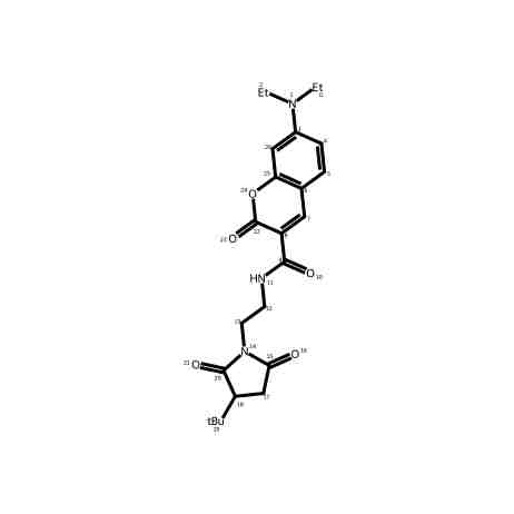 CCN(CC)c1ccc2cc(C(=O)NCCN3C(=O)CC(C(C)(C)C)C3=O)c(=O)oc2c1